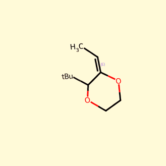 C/C=C1/OCCOC1C(C)(C)C